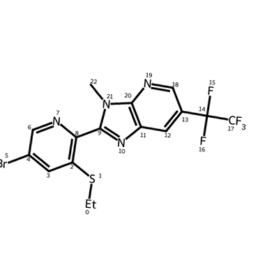 CCSc1cc(Br)cnc1-c1nc2cc(C(F)(F)C(F)(F)F)cnc2n1C